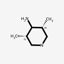 C[C@@H]1C[N]C[C@H](C)C1N